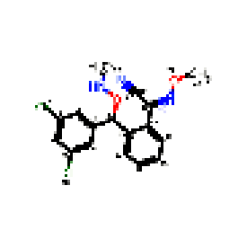 CNOC(c1cc(Cl)cc(Cl)c1)c1ccccc1/C(C#N)=N/OC